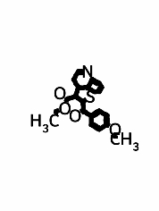 CCOC(=O)C1C(C(=O)c2ccc(OC)cc2)SC23CC=CC=C2N=CCC13